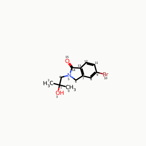 CC(C)(O)CN1Cc2cc(Br)ccc2C1=O